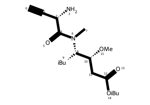 C#C[C@H](N)C(=O)N(C)[C@@H]([C@@H](C)CC)[C@@H](CC(=O)OCC(C)C)OC